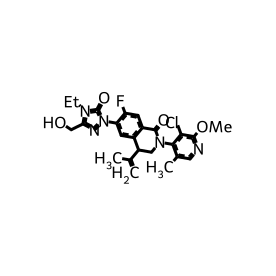 C=C(C)C1CN(c2c(C)cnc(OC)c2Cl)C(=O)c2cc(F)c(-n3nc(CO)n(CC)c3=O)cc21